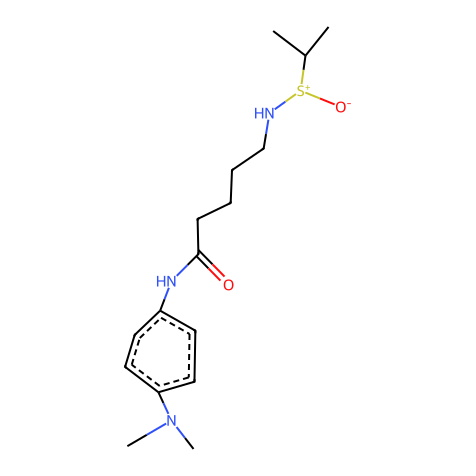 CC(C)[S+]([O-])NCCCCC(=O)Nc1ccc(N(C)C)cc1